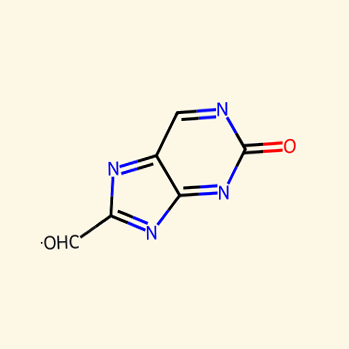 O=[C]C1=NC2=NC(=O)N=CC2=N1